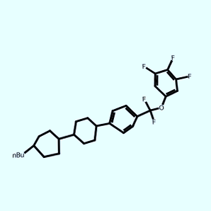 CCCCC1CCC(C2CCC(c3ccc(C(F)(F)Oc4cc(F)c(F)c(F)c4)cc3)CC2)CC1